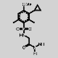 CCN([NH])C(=O)CNS(=O)(=O)c1c(C)cc(OC)c(C2CC2)c1C